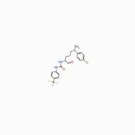 CN(CCCC(C=O)NC(=O)Nc1ccc(C(F)(F)F)cc1)c1ccc(Cl)cc1